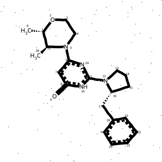 C[C@@H]1OCCN(c2cc(=O)[nH]c(N3CCC[C@@H]3Cc3ccccc3)n2)[C@H]1C